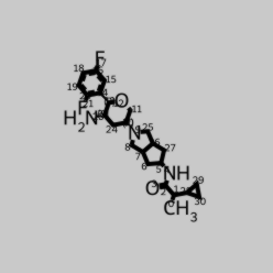 CC(C(=O)NC1CC2CN([C@H]3CO[C@H](c4cc(F)ccc4F)[C@@H](N)C3)CC2C1)C1CC1